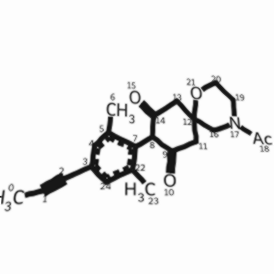 CC#Cc1cc(C)c(C2C(=O)CC3(CC2=O)CN(C(C)=O)CCO3)c(C)c1